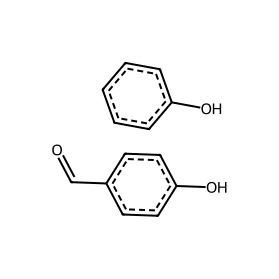 O=Cc1ccc(O)cc1.Oc1ccccc1